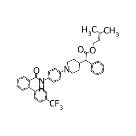 CC(C)=CCOC(=O)C(c1ccccc1)C1CCN(c2ccc(NC(=O)c3ccccc3-c3ccc(C(F)(F)F)cc3)cc2)CC1